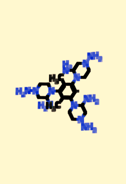 Cc1c(N2CCN(N)CC2N)[c]c(N2CCN(N)CC2N)c(C)c1N1CCN(N)CC1N